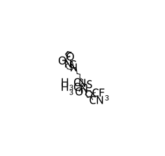 CC1(C)C(=O)N(c2ccc(C#N)c(C(F)(F)F)c2)C(=S)N1CCCCCN1CCCN(C(=O)c2ccco2)CC1